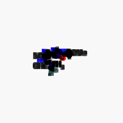 COC1CC(C(=O)Nc2cnc(-c3cnc(C#N)c(N[C@H](C=O)CN(C)CC(F)F)c3)cn2)C1